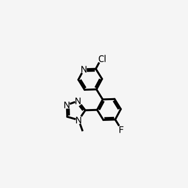 Cn1cnnc1-c1cc(F)ccc1-c1ccnc(Cl)c1